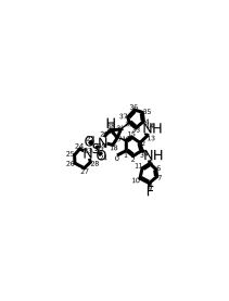 Cc1cc(Nc2ccc(F)cc2)c(C=N)cc1[C@@]12CN(S(=O)(=O)N3CCCCC3)C[C@@H]1[C@H]2c1ccccc1